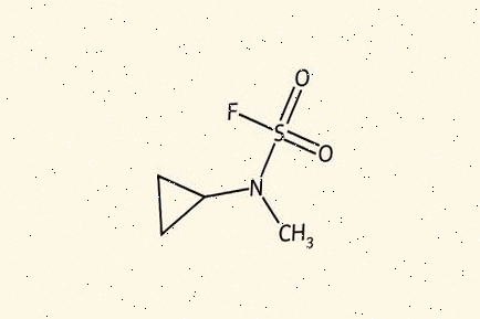 CN(C1CC1)S(=O)(=O)F